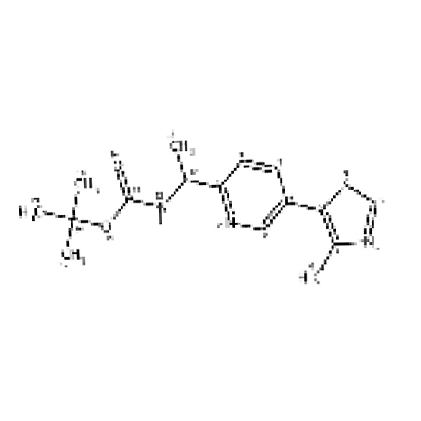 Cc1ncsc1-c1ccc(C(C)NC(=O)OC(C)(C)C)nc1